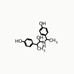 CC(NC(O)C(C)c1ccc(O)cc1)c1ccc(O)cc1